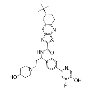 CC(C)(C)[C@H]1CCc2nc3sc(C(=O)NC(CCN4CCC(O)CC4)c4ccc(-c5cc(F)c(O)cn5)cc4)nc3cc2C1